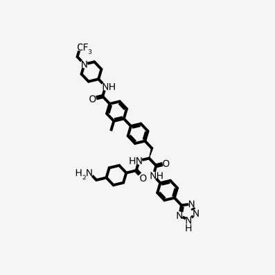 Cc1cc(C(=O)NC2CCN(CC(F)(F)F)CC2)ccc1-c1ccc(C[C@H](NC(=O)C2CCC(CN)CC2)C(=O)Nc2ccc(-c3nn[nH]n3)cc2)cc1